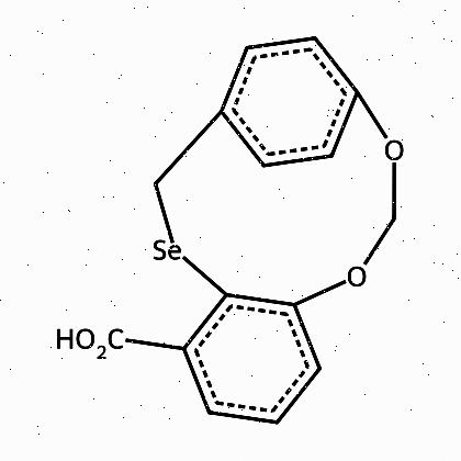 O=C(O)c1cccc2c1[Se]Cc1ccc(cc1)OCO2